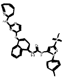 Cc1ccc(-n2nc(S(C)(C)C)cc2NC(=O)Nc2ccc(Oc3ccnc(Nc4ccccn4)n3)c3ccccc23)cc1